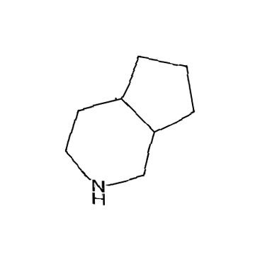 C1C[C]2CCNCC2C1